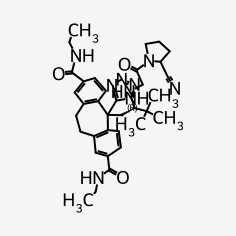 CCNC(=O)c1ccc2c(c1)CCc1cc(C(=O)NCC)ccc1C2(C[C@@H](NCC(=O)N1CCCC1C#N)C(C)(C)C)c1nnn[nH]1